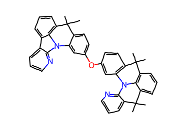 CC1(C)c2ccc(Oc3ccc4c(c3)-n3c5ncccc5c5cccc(c53)C4(C)C)cc2N2c3ncccc3C(C)(C)c3cccc1c32